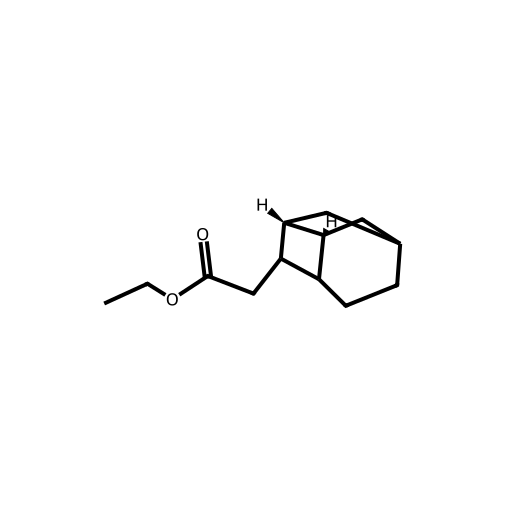 CCOC(=O)CC1C2CCC3C[C@H]2[C@H]1C3